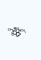 CN(C)c1ncnc(Cl)c1NC(=O)CCl